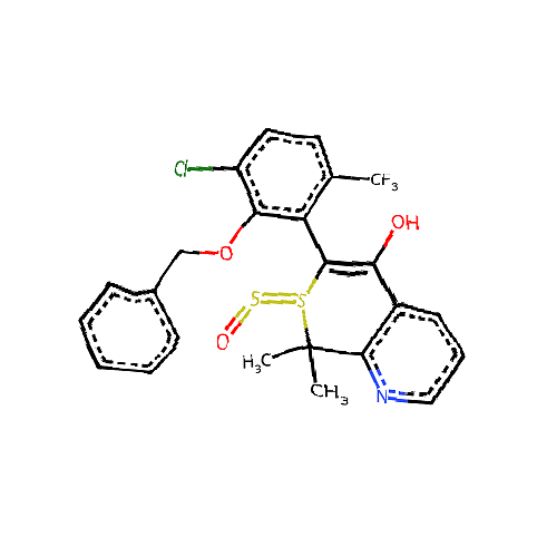 CC1(C)c2ncccc2C(O)=C(c2c(C(F)(F)F)ccc(Cl)c2OCc2ccccc2)S1=S=O